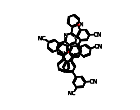 N#Cc1cc(C#N)cc(-c2ccc3c4ccccc4n(-c4ccc(C#N)cc4-c4nc(-c5ccccc5)nc(-c5cc(C#N)ccc5-n5c6ccccc6c6ccc(-c7cc(C#N)cc(C#N)c7)cc65)n4)c3c2)c1